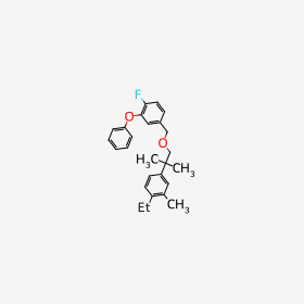 CCc1ccc(C(C)(C)COCc2ccc(F)c(Oc3ccccc3)c2)cc1C